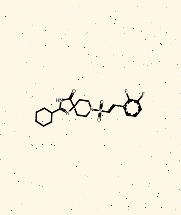 O=C1NC(C2CCCCC2)=NC12CCN(S(=O)(=O)C=Cc1cccc(F)c1F)CC2